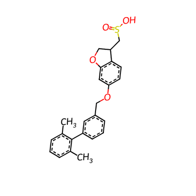 Cc1cccc(C)c1-c1cccc(COc2ccc3c(c2)OCC3CS(=O)O)c1